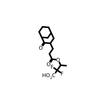 CC(OC(=O)CCC1CC2CCCC(C2)C1=O)C(F)(F)C(=O)O